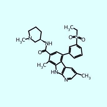 CCS(=O)(=O)c1cccc(-c2cc(C(=O)N[C@@H]3CCCN(C)C3)c(C)c3[nH]c4ncc(C)cc4c23)c1